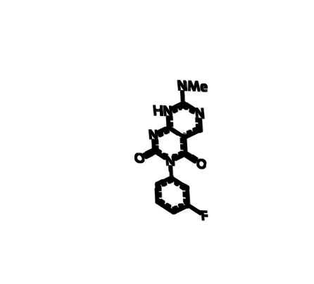 CNc1ncc2c(=O)n(-c3cccc(F)c3)c(=O)nc-2[nH]1